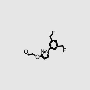 O=CCOc1ccn(-c2cc(CF)cc(CF)c2)n1